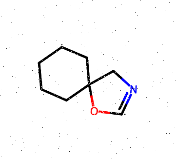 [C]1=NCC2(C[CH]CCC2)O1